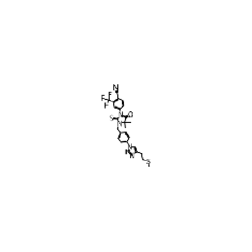 CSCCc1cn(-c2ccc(CN3C(=S)N(c4ccc(C#N)c(C(F)(F)F)c4)C(=O)C3(C)C)cc2)nn1